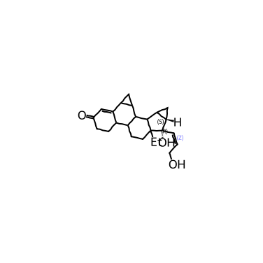 CCC12CCC3C4CCC(=O)C=C4C4CC4C3C1C1C[C@@H]1[C@@]2(O)/C=C\CO